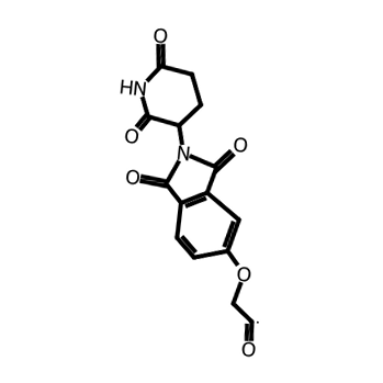 O=[C]COc1ccc2c(c1)C(=O)N(C1CCC(=O)NC1=O)C2=O